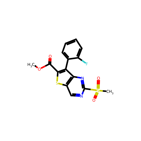 COC(=O)c1sc2cnc(S(C)(=O)=O)nc2c1-c1ccccc1F